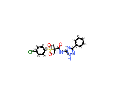 CC(C)(C(=O)Nc1nc(-c2ccccc2)n[nH]1)S(=O)(=O)c1ccc(Cl)cc1